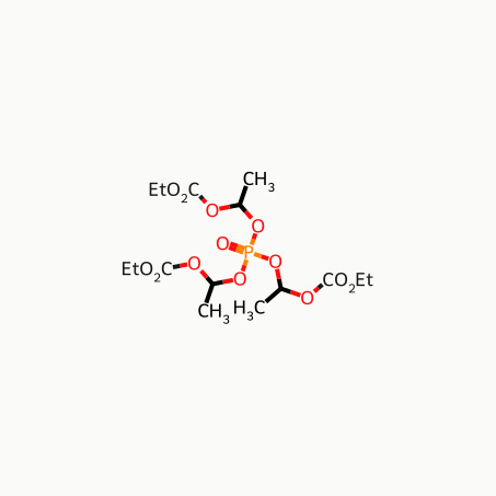 CCOC(=O)OC(C)OP(=O)(OC(C)OC(=O)OCC)OC(C)OC(=O)OCC